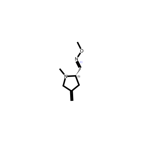 C=C1C[C@@H](/C=N/OC)N(C)C1